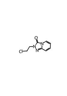 O=c1n(CCCl)nc2ccccn12